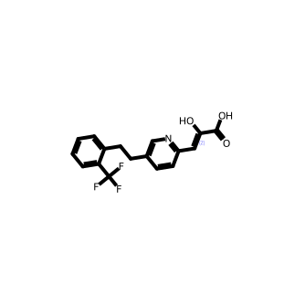 O=C(O)/C(O)=C/c1ccc(CCc2ccccc2C(F)(F)F)cn1